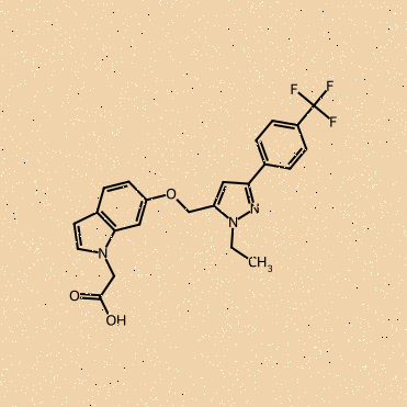 CCn1nc(-c2ccc(C(F)(F)F)cc2)cc1COc1ccc2ccn(CC(=O)O)c2c1